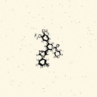 Cc1ccc(C2CC(c3cn(-c4cccc(F)c4)cn3)CN(C(=O)N3CCOCC3)C2)cc1C(F)(F)F